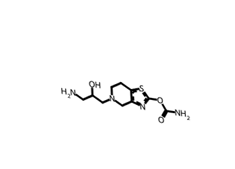 NCC(O)CN1CCc2sc(OC(N)=O)nc2C1